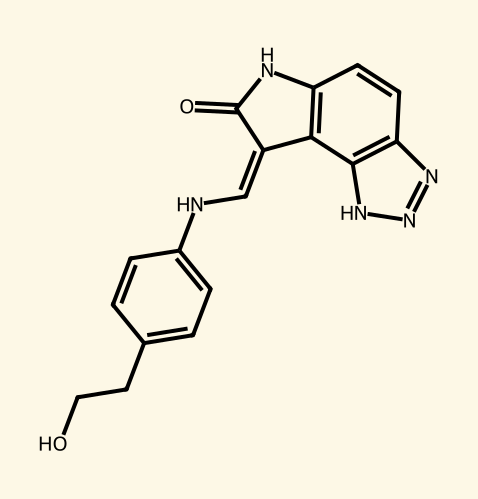 O=C1Nc2ccc3nn[nH]c3c2C1=CNc1ccc(CCO)cc1